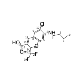 CCCCNc1cc2c(cc1Cl)C=C(C(=O)O)C(C(F)(F)F)O2